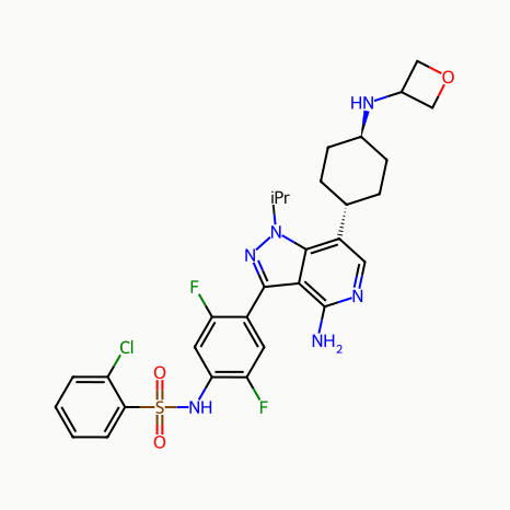 CC(C)n1nc(-c2cc(F)c(NS(=O)(=O)c3ccccc3Cl)cc2F)c2c(N)ncc([C@H]3CC[C@H](NC4COC4)CC3)c21